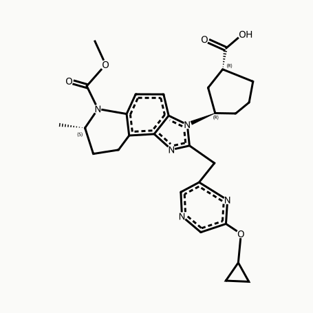 COC(=O)N1c2ccc3c(nc(Cc4cncc(OC5CC5)n4)n3[C@@H]3CCC[C@@H](C(=O)O)C3)c2CC[C@@H]1C